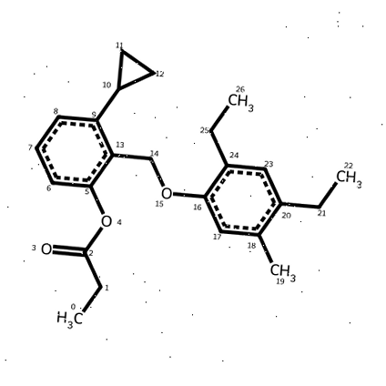 CCC(=O)Oc1cccc(C2CC2)c1COc1cc(C)c(CC)cc1CC